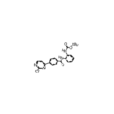 CC(C)(C)OC(=O)Nc1ccccc1NC(=O)c1ccc(-c2ccnc(Cl)n2)cc1